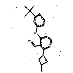 CC1CN(c2ncnc(Nc3cccc(C(C)(F)F)c3)c2C=N)C1